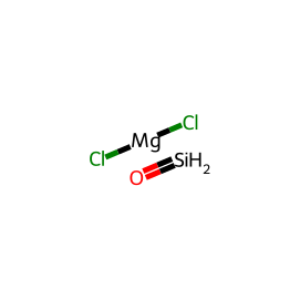 O=[SiH2].[Cl][Mg][Cl]